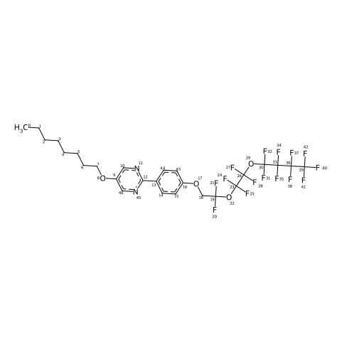 CCCCCCCCOc1cnc(-c2ccc(OCC(F)(F)OC(F)(F)C(F)(F)OC(F)(F)C(F)(F)C(F)(F)C(F)(F)F)cc2)nc1